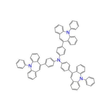 C1=C(c2ccc(N(c3ccc(C4=Cc5ccccc5N(c5ccccc5)c5ccccc54)cc3)c3ccc(C4=Cc5ccccc5N(c5ccccc5)c5ccccc54)cc3)cc2)c2ccccc2N(c2ccccc2)c2ccccc21